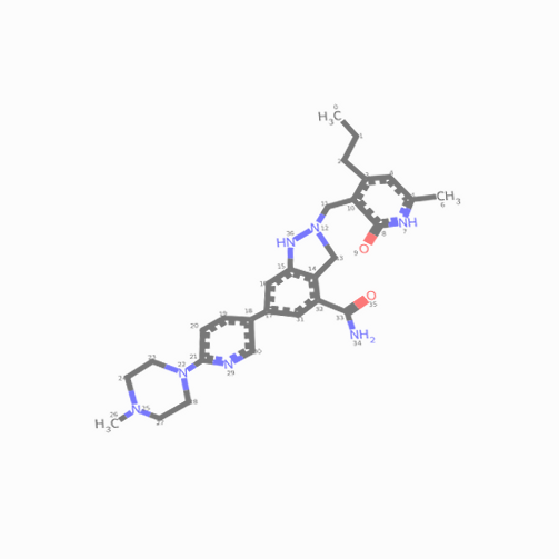 CCCc1cc(C)[nH]c(=O)c1CN1Cc2c(cc(-c3ccc(N4CCN(C)CC4)nc3)cc2C(N)=O)N1